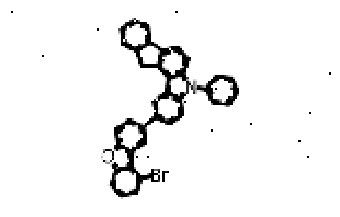 Brc1cccc2oc3ccc(-c4ccc5c(c4)c4c6c(ccc4n5-c4ccccc4)-c4ccccc4C6)cc3c12